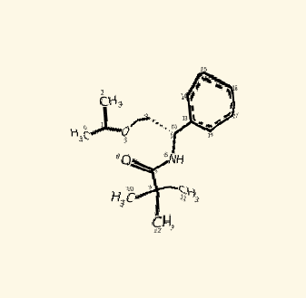 CC(C)OC[C@@H](NC(=O)C(C)(C)C)c1ccccc1